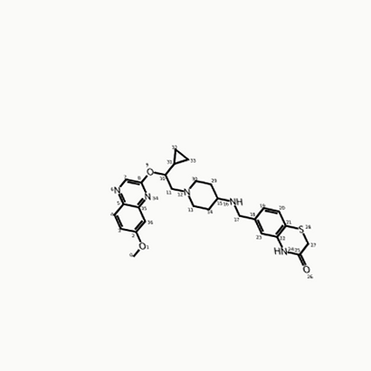 COc1ccc2ncc(OC(CN3CCC(NCc4ccc5c(c4)NC(=O)CS5)CC3)C3CC3)nc2c1